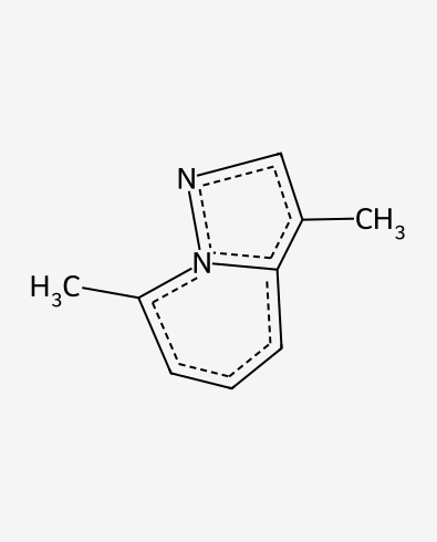 Cc1cnn2c(C)cccc12